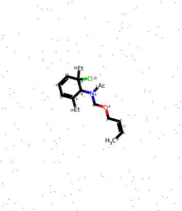 C/C=C\COCN(C(C)=O)C1C(CC)=CC=CC1(Cl)CC